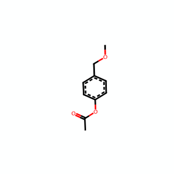 COCc1ccc(OC(C)=O)cc1